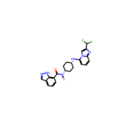 O=C(c1cccc2cn[nH]c12)[N+](=S)[C@H]1CC[C@@H](Nc2cccc3nc(C(F)F)cn23)CC1